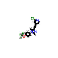 Cc1nc(C#Cc2ccnc(Cl)c2)c(C)n1-c1ccc(OC(F)(F)F)cc1